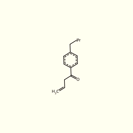 C=CCC(=O)c1ccc(CC(C)C)cc1